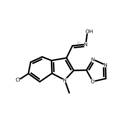 Cn1c(-c2nnco2)c(/C=N/O)c2ccc(Cl)cc21